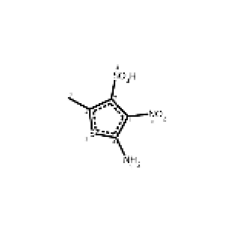 Cc1sc(N)c([N+](=O)[O-])c1S(=O)(=O)O